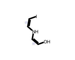 O/C=C\N/C=C\I